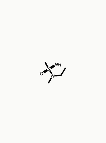 CCN(C)S(C)(=N)=O